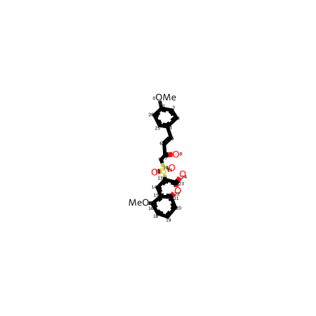 COc1ccc(/C=C/C(=O)CS(=O)(=O)c2cc3c(OC)cccc3oc2=O)cc1